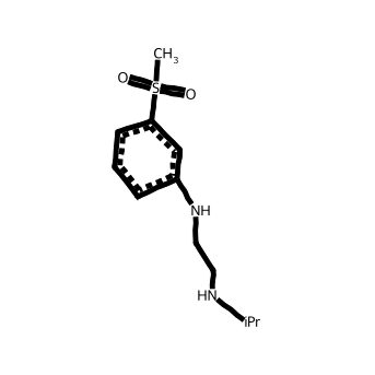 CC(C)NCCNc1[c]ccc(S(C)(=O)=O)c1